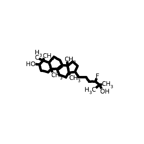 CC(C)(O)C(F)CCCC1CCC2(C)C3=C(CCC12C)C1(C)CCC(O)C(C)(C)C1CC3